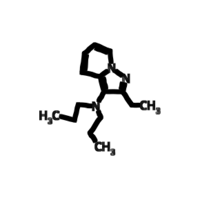 CCCN(CCC)c1c(CC)nn2ccccc12